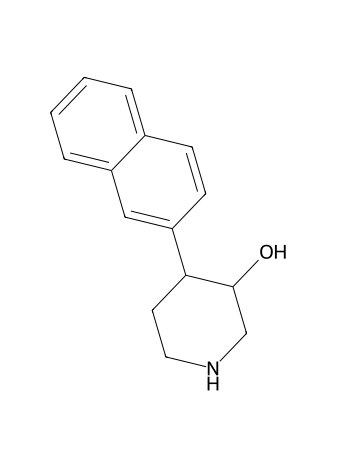 OC1CNCCC1c1ccc2ccccc2c1